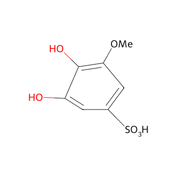 COc1cc(S(=O)(=O)O)cc(O)c1O